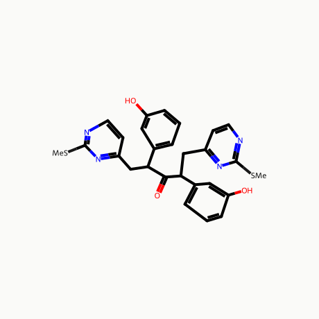 CSc1nccc(CC(C(=O)C(Cc2ccnc(SC)n2)c2cccc(O)c2)c2cccc(O)c2)n1